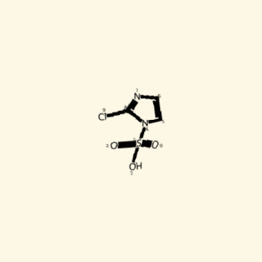 O=S(=O)(O)n1ccnc1Cl